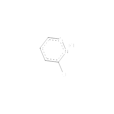 Cl.Clc1cccnn1